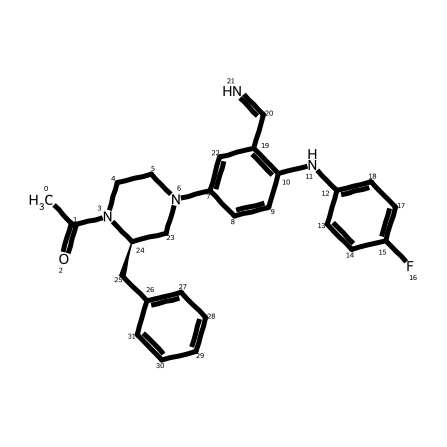 CC(=O)N1CCN(c2ccc(Nc3ccc(F)cc3)c(C=N)c2)C[C@H]1Cc1ccccc1